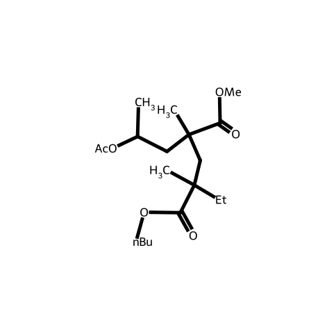 CCCCOC(=O)C(C)(CC)CC(C)(CC(C)OC(C)=O)C(=O)OC